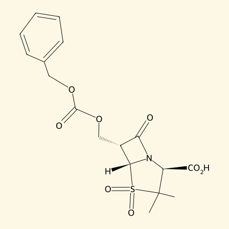 CC1(C)[C@H](C(=O)O)N2C(=O)[C@@H](COC(=O)OCc3ccccc3)[C@H]2S1(=O)=O